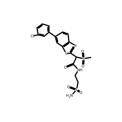 CS(=O)(=O)C(C(=O)NCCS(N)(=O)=O)c1nc2ccc(-c3cccc(Cl)c3)cc2s1